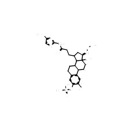 CON=C1CC(CCC(=O)Nc2ncc(C)s2)C2C3CCc4cc(OP(=O)(O)O)c(I)cc4C3CCC12C